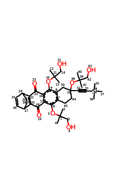 CC(C)(CO)Oc1c2c(c(OC(C)(C)CO)c3c1C(=O)C1=C(C3=O)C3C=CC1CC3)CC(C#C[Si](C)(C)C)(OC(C)(C)CO)CC2